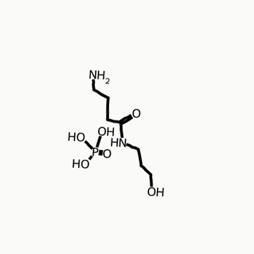 NCCCC(=O)NCCCO.O=P(O)(O)O